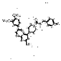 COc1ccc(-c2cnc3nc(N)nc(N4CCN(C(=O)NCc5ccc(F)cc5)CC4)c3n2)cc1OC